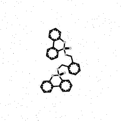 O=P1(SCc2ccccc2CSP2(=O)Oc3ccccc3-c3ccccc32)Oc2ccccc2-c2ccccc21